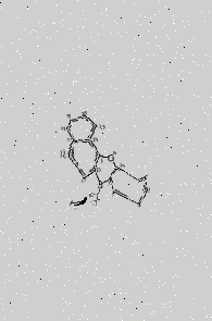 CB1c2ccccc2Oc2c1ccc1ccccc21